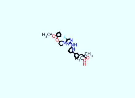 CCOc1ccccc1OC1CCCN(c2nc(Nc3cccc(-c4cccc(CC(C)(C)C(=O)O)c4)n3)ncc2F)C1